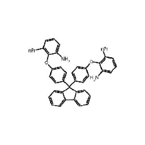 CCCc1cccc(N)c1Oc1ccc(C2(c3ccc(Oc4c(N)cccc4CCC)cc3)c3ccccc3-c3ccccc32)cc1